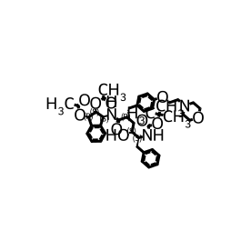 CC(=O)O[C@@H]1[C@H](OC(C)=O)c2ccccc2[C@@H]1NC(=O)[C@H](Cc1ccc(OCCN2CCOCC2)cc1)C[C@H](O)[C@H](Cc1ccccc1)NC(=O)OC(C)(C)C